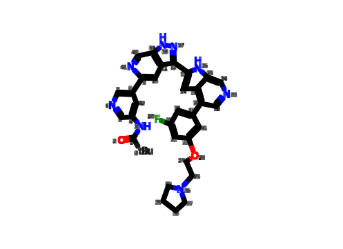 CC(C)(C)C(=O)Nc1cncc(-c2cc3c(-c4cc5c(-c6cc(F)cc(OCCN7CCCC7)c6)cncc5[nH]4)n[nH]c3cn2)c1